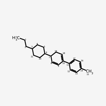 CCCC1CCC(C2C=CC(c3ccc(C)cc3)=CC2)CC1